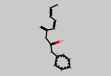 C=C(/C=C\C=C/C)CC(=O)Cc1ccccc1